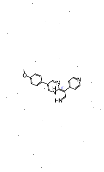 COc1ccc(C2=CN/C(=C(\C=N)c3ccncc3)N=C2)cc1